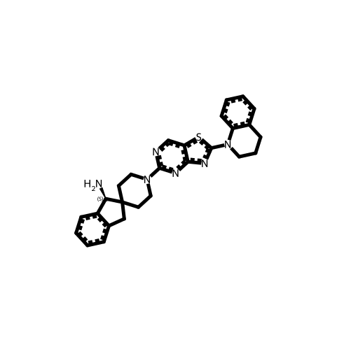 N[C@@H]1c2ccccc2CC12CCN(c1ncc3sc(N4CCCc5ccccc54)nc3n1)CC2